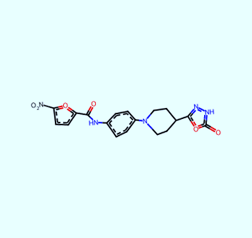 O=C(Nc1ccc(N2CCC(c3n[nH]c(=O)o3)CC2)cc1)c1ccc([N+](=O)[O-])o1